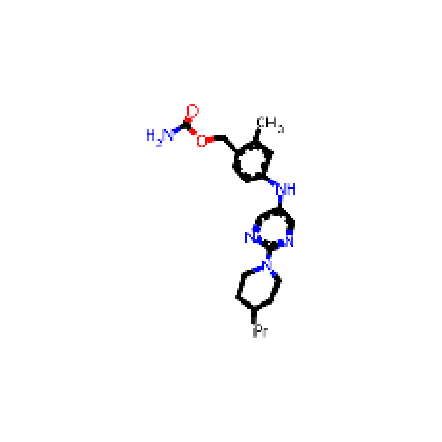 Cc1cc(Nc2cnc(N3CCC(C(C)C)CC3)nc2)ccc1COC(N)=O